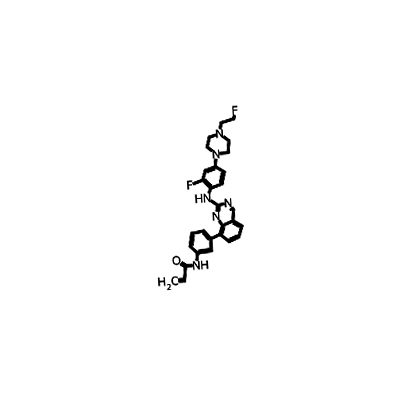 C=CC(=O)Nc1cccc(-c2cccc3cnc(Nc4ccc(N5CCN(CCF)CC5)cc4F)nc23)c1